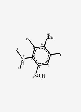 Cc1cc(S(=O)(=O)O)c([SiH](C)C)c(C)c1C(C)(C)C